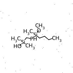 CCCC[Si](C)(OC)PC[Si](C)(C)O